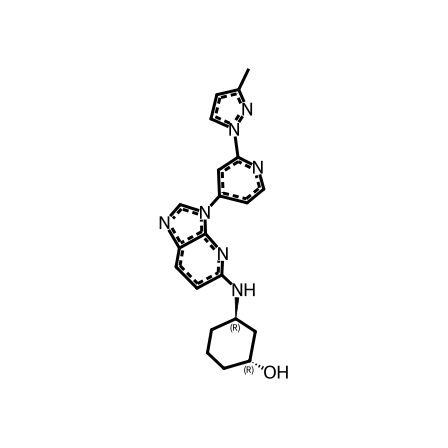 Cc1ccn(-c2cc(-n3cnc4ccc(N[C@@H]5CCC[C@@H](O)C5)nc43)ccn2)n1